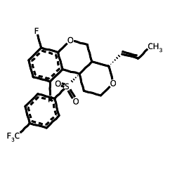 C/C=C/[C@@H]1OCC[C@@]2(S(=O)(=O)c3ccc(C(F)(F)F)cc3)c3c(F)ccc(F)c3OCC12